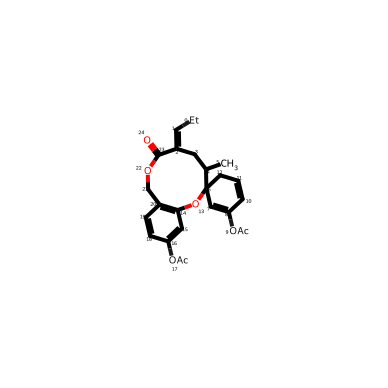 CC/C=C1\CC(C)C2(C=C(OC(C)=O)C=CC2)Oc2cc(OC(C)=O)ccc2COC1=O